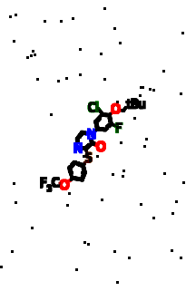 CC(C)(C)COc1c(F)cc(-n2ccnc(Sc3ccc(OC(F)(F)F)cc3)c2=O)cc1Cl